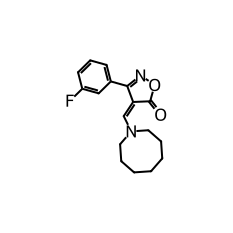 O=C1ON=C(c2cccc(F)c2)C1=CN1CCCCCCC1